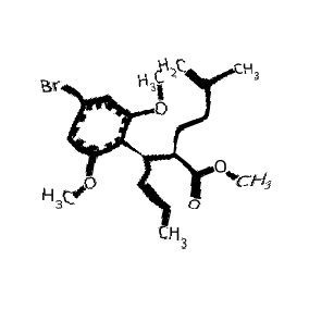 C=C(C)CC[C@@H](C(=O)OC)[C@@H](/C=C/C)c1c(OC)cc(Br)cc1OC